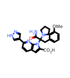 COc1cccc(CC(C(N)=O)(N2CCCC2)n2c(C(=O)O)cc3ccc(-c4cn[nH]c4)nc32)c1